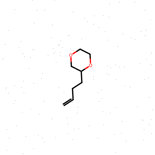 C=CCCC1COCCO1